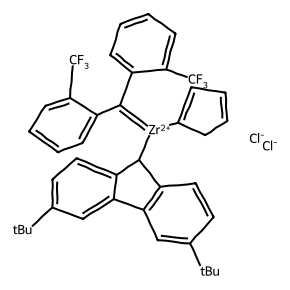 CC(C)(C)c1ccc2c(c1)-c1cc(C(C)(C)C)ccc1[CH]2[Zr+2]([C]1=CC=CC1)=[C](c1ccccc1C(F)(F)F)c1ccccc1C(F)(F)F.[Cl-].[Cl-]